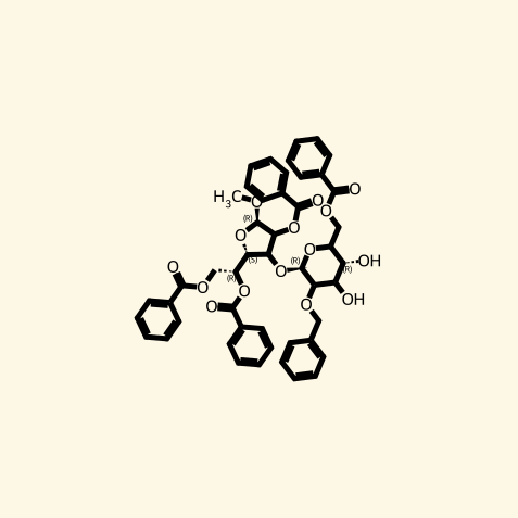 CO[C@@H]1O[C@@H]([C@@H](COC(=O)c2ccccc2)OC(=O)c2ccccc2)C(O[C@H]2OC(COC(=O)c3ccccc3)[C@H](O)C(O)C2OCc2ccccc2)C1OC(=O)c1ccccc1